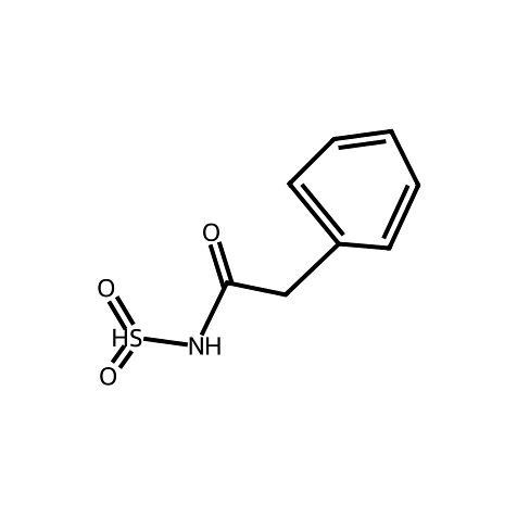 O=C(Cc1ccccc1)N[SH](=O)=O